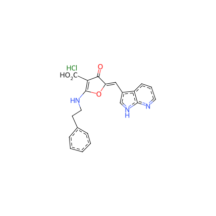 Cl.O=C(O)C1=C(NCCc2ccccc2)OC(=Cc2c[nH]c3ncccc23)C1=O